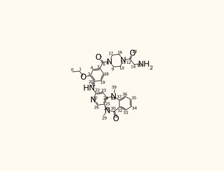 CCOc1cc(C(=O)N2CCN(C(=O)CN)CC2)ccc1Nc1cc2c(cn1)N(C)C(=O)c1ccccc1N2C